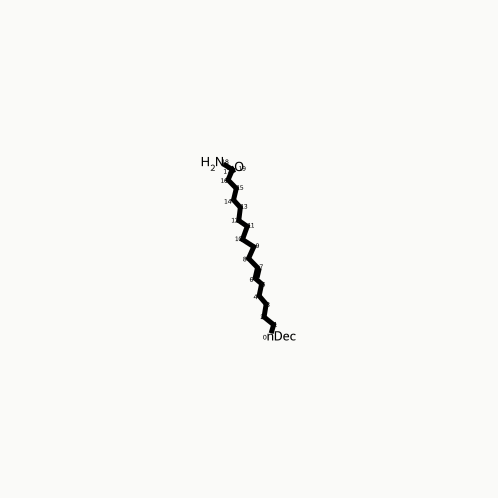 CCCCCCCCCCCCCCC/C=C/CCCCCCCCCC(N)=O